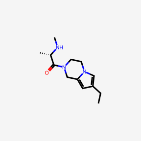 CCc1cc2n(c1)CCN(C(=O)[C@H](C)NC)C2